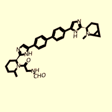 CC1CCC[C@@H](c2ncc(-c3ccc(-c4ccc(-c5cnc([C@@H]6CCC7CC7N6C)[nH]5)cc4)cc3)[nH]2)N1C(=O)CNC=O